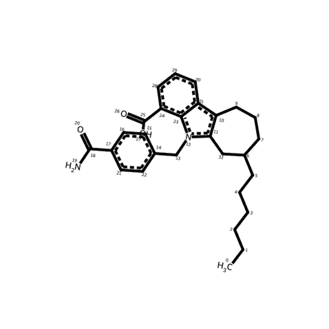 CCCCCCC1CCCc2c(n(Cc3ccc(C(N)=O)cc3)c3c(C(=O)O)cccc23)C1